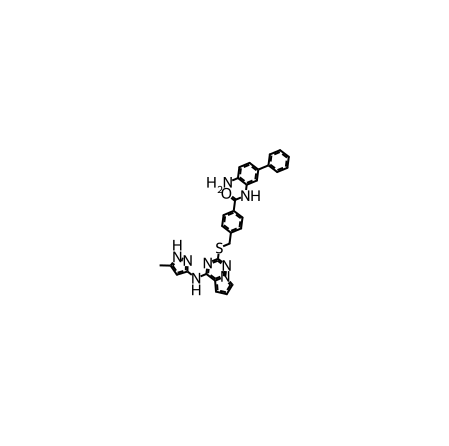 Cc1cc(Nc2nc(SCc3ccc(C(=O)Nc4cc(-c5ccccc5)ccc4N)cc3)nn3cccc23)n[nH]1